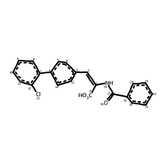 O=C(O)/C(=C\c1ccc(-c2ccccc2Cl)cc1)NC(=O)c1ccccc1